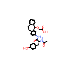 CC(=O)N[C@@H](Cc1ccc(O)cc1)C(=O)Nc1ccc2c(c1)C(OCC(=O)O)c1ccccc1CC2